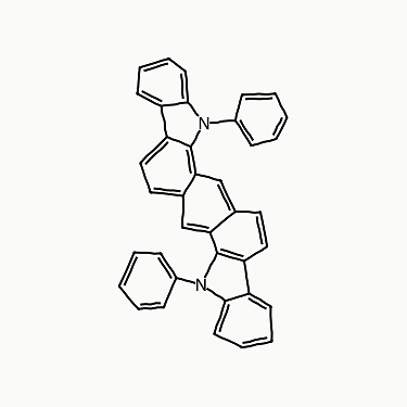 c1ccc(-n2c3ccccc3c3ccc4cc5c(ccc6c7ccccc7n(-c7ccccc7)c56)cc4c32)cc1